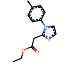 CCOC(=O)Cc1nccn1-c1ccc(C)cc1